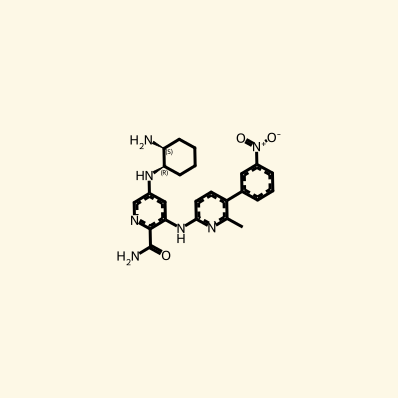 Cc1nc(Nc2cc(N[C@@H]3CCCC[C@@H]3N)cnc2C(N)=O)ccc1-c1cccc([N+](=O)[O-])c1